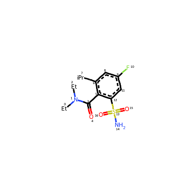 CCN(CC)C(=O)c1c(C(C)C)cc(F)cc1S(N)(=O)=O